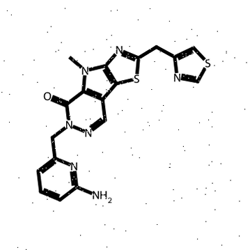 Cn1c2nc(Cc3cscn3)sc2c2cnn(Cc3cccc(N)n3)c(=O)c21